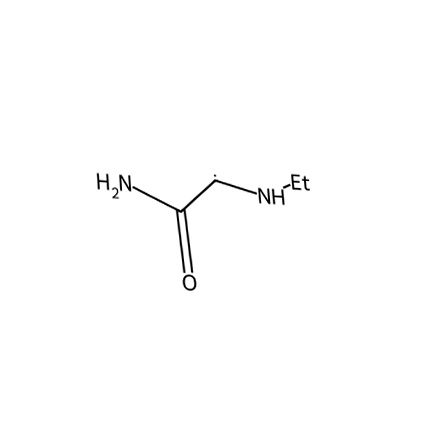 CCN[CH]C(N)=O